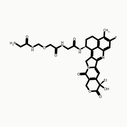 CC[C@@]1(O)C(=O)OCc2c1cc1n(c2=O)Cc2c-1nc1cc(F)c(C)c3c1c2[C@@H](NC(=O)CNC(=O)COCNC(=O)CN)CC3